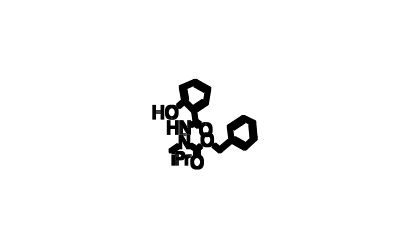 CC(C)CN(NC(=O)c1ccccc1O)C(=O)OCc1ccccc1